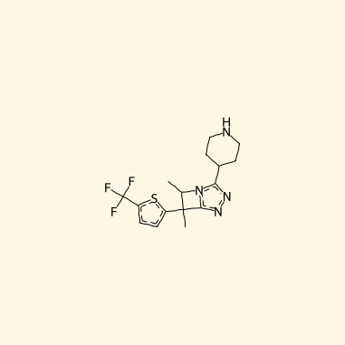 CC1n2c(C3CCNCC3)nnc2C1(C)c1ccc(C(F)(F)F)s1